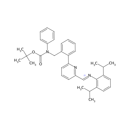 CC(C)c1cccc(C(C)C)c1/N=C/c1cccc(-c2ccccc2CN(C(=O)OC(C)(C)C)c2ccccc2)n1